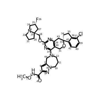 CONC(=O)c1cc2n(n1)CCCN(c1nc(OC[C@@]34CCCN3C[C@H](F)C4)nc3c1CO[C@@]1(CCc4c(Cl)cccc41)C3)C2